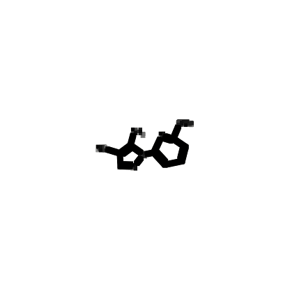 COc1cccc(-n2ncc(C#N)c2N)n1